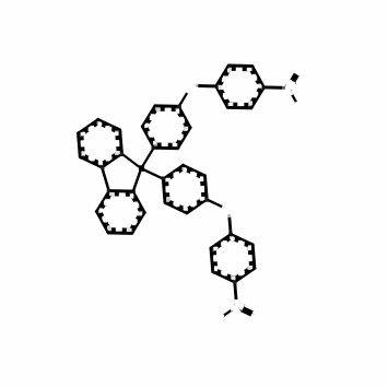 O=[N+]([O-])c1ccc(Oc2ccc(C3(c4ccc(Oc5ccc([N+](=O)[O-])cc5)cc4)c4ccccc4-c4ccccc43)cc2)cc1